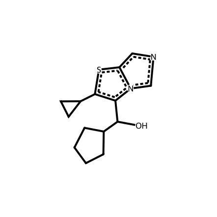 OC(c1c(C2CC2)sc2cncn12)C1CCCC1